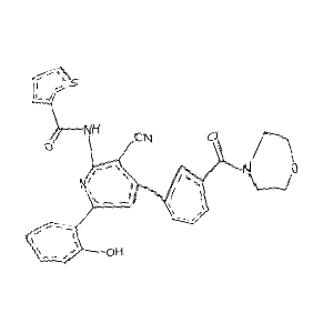 N#Cc1c(-c2cccc(C(=O)N3CCOCC3)c2)cc(-c2ccccc2O)nc1NC(=O)c1cccs1